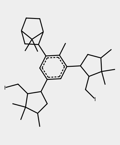 Cc1c(C2CC(C)C(C)(C)C2CI)cc(C2CC(C)C(C)(C)C2CI)cc1C1CC2CCC1C2(C)C